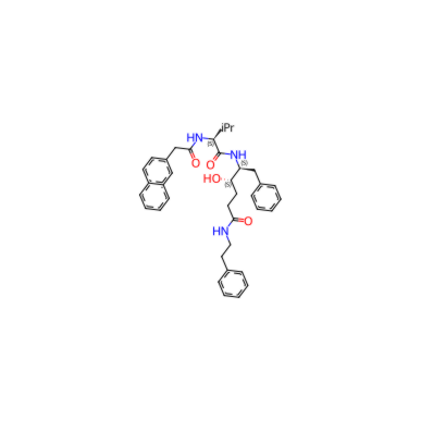 CC(C)[C@H](NC(=O)Cc1ccc2ccccc2c1)C(=O)N[C@@H](Cc1ccccc1)[C@@H](O)CCC(=O)NCCc1ccccc1